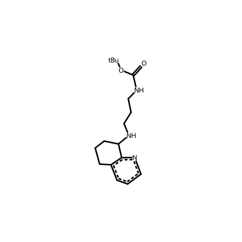 CC(C)(C)OC(=O)NCCCNC1CCCc2cccnc21